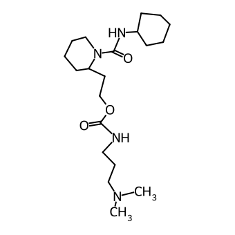 CN(C)CCCNC(=O)OCCC1CCCCN1C(=O)NC1CCCCC1